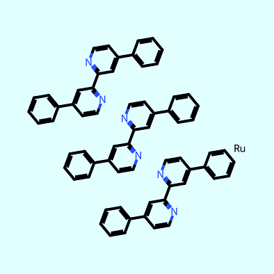 [Ru].c1ccc(-c2ccnc(-c3cc(-c4ccccc4)ccn3)c2)cc1.c1ccc(-c2ccnc(-c3cc(-c4ccccc4)ccn3)c2)cc1.c1ccc(-c2ccnc(-c3cc(-c4ccccc4)ccn3)c2)cc1